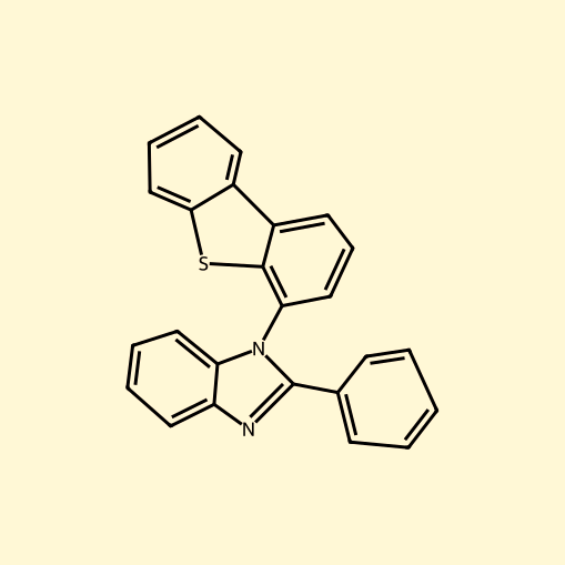 c1ccc(-c2nc3ccccc3n2-c2cccc3c2sc2ccccc23)cc1